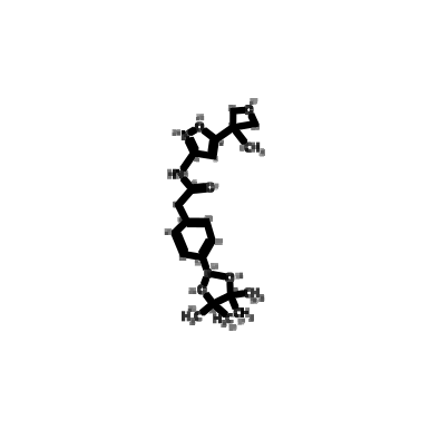 CC1(c2cc(NC(=O)Cc3ccc(B4OC(C)(C)C(C)(C)O4)cc3)no2)COC1